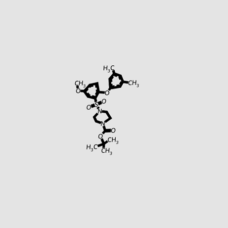 COc1ccc(Oc2cc(C)cc(C)c2)c(S(=O)(=O)N2CCN(C(=O)OC(C)(C)C)CC2)c1